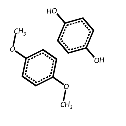 COc1ccc(OC)cc1.Oc1ccc(O)cc1